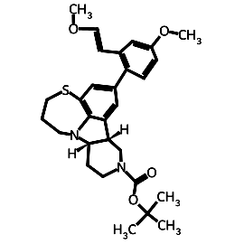 CO/C=C/c1cc(OC)ccc1-c1cc2c3c(c1)[C@@H]1CN(C(=O)OC(C)(C)C)CC[C@@H]1N3CCCS2